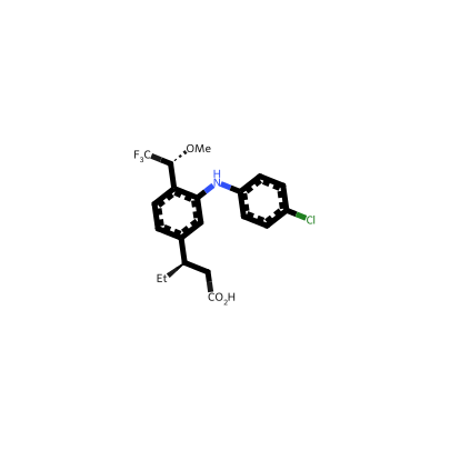 CC[C@H](CC(=O)O)c1ccc([C@@H](OC)C(F)(F)F)c(Nc2ccc(Cl)cc2)c1